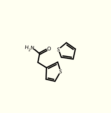 NC(=O)Cc1ccsc1.c1ccsc1